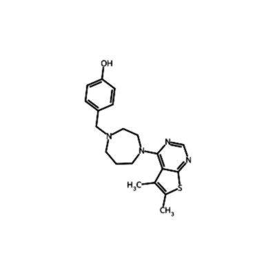 Cc1sc2ncnc(N3CCCN(Cc4ccc(O)cc4)CC3)c2c1C